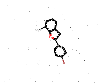 O=[N+]([O-])c1cccc2cc(-c3ccc(Br)cc3)oc12